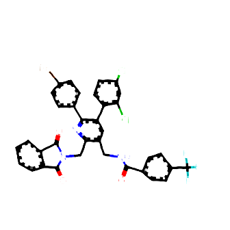 O=C(NCc1cc(-c2ccc(Cl)cc2Cl)c(-c2ccc(Br)cc2)nc1CN1C(=O)c2ccccc2C1=O)c1ccc(C(F)(F)F)cc1